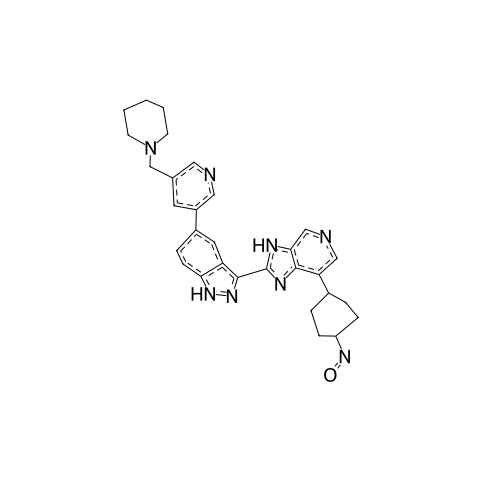 O=NC1CCC(c2cncc3[nH]c(-c4n[nH]c5ccc(-c6cncc(CN7CCCCC7)c6)cc45)nc23)CC1